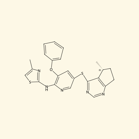 Cc1csc(Nc2ncc(Sc3ncnc4c3[C@H](C)CC4)cc2Oc2ccccc2)n1